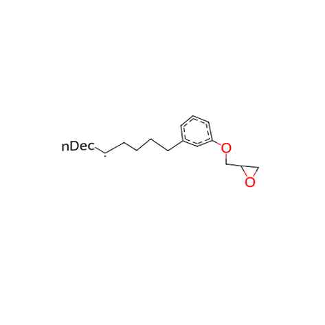 CCCCCCCCCC[CH]CCCCc1cccc(OCC2CO2)c1